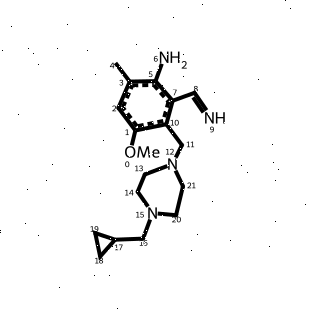 COc1cc(C)c(N)c(C=N)c1CN1CCN(CC2CC2)CC1